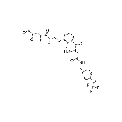 Cc1c(SCC(F)C(=O)NCC(=O)N=O)cccc1C(=O)N(N)CC(=O)NCc1ccc(OC(F)(F)F)cc1